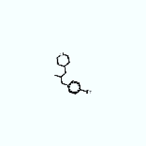 CC(Cc1ccc(C(C)C)cc1)CC1CCOCC1